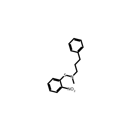 CN(CCCc1ccccc1)Sc1ccccc1[N+](=O)[O-]